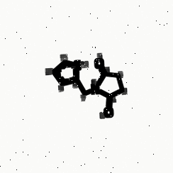 O=C1CCC(=O)N1Cc1cccs1